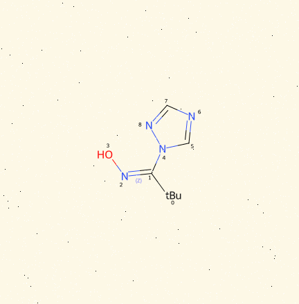 CC(C)(C)/C(=N/O)n1cncn1